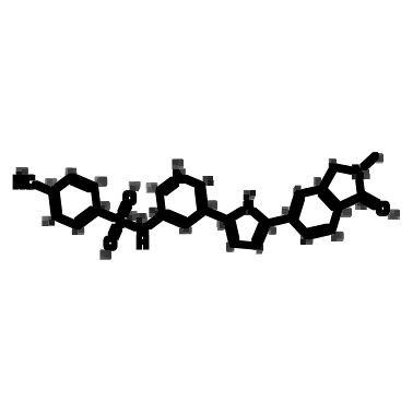 CN1Cc2cc(-c3ccc(-c4cncc(NS(=O)(=O)c5ccc(C#N)cc5)c4)s3)ccc2C1=O